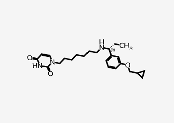 CC[C@@H](NCCCCCCCn1ccc(=O)[nH]c1=O)c1cccc(OCC2CC2)c1